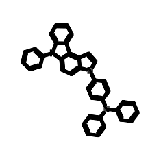 c1ccc(N(c2ccccc2)c2ccc(-n3ccc4c5c6ccccc6n(-c6ccccc6)c5ccc43)cc2)cc1